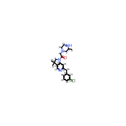 CC1CN(CC(=O)N2CC(C)(C)c3cnc(Cc4cccc(Cl)c4)cc32)CCN1